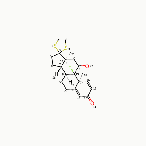 CSC1(SC)CC[C@H]2[C@@H]3CCC4=CC(=O)C=C[C@]4(C)[C@@]3(F)C(=O)C[C@@]21C